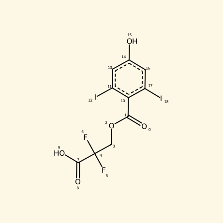 O=C(OCC(F)(F)C(=O)O)c1c(I)cc(O)cc1I